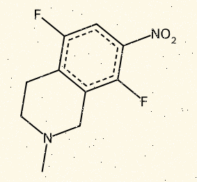 CN1CCc2c(F)cc([N+](=O)[O-])c(F)c2C1